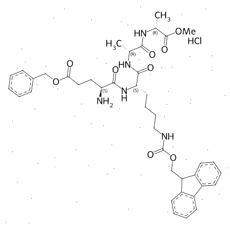 COC(=O)[C@@H](C)NC(=O)[C@@H](C)NC(=O)[C@H](CCCCNC(=O)OCC1c2ccccc2-c2ccccc21)NC(=O)[C@@H](N)CCC(=O)OCc1ccccc1.Cl